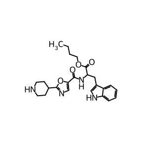 CCCCOC(=O)C(Cc1c[nH]c2ccccc12)NC(=O)c1cnc(C2CCNCC2)o1